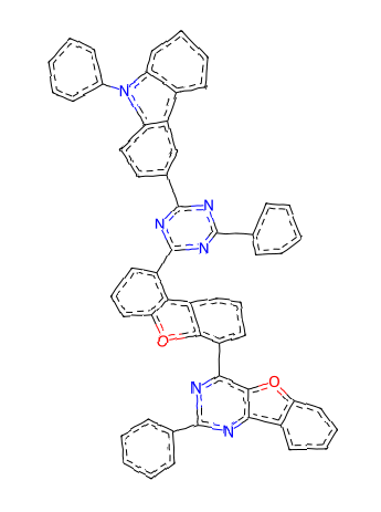 c1ccc(-c2nc(-c3ccc4c(c3)c3ccccc3n4-c3ccccc3)nc(-c3cccc4oc5c(-c6nc(-c7ccccc7)nc7c6oc6ccccc67)cccc5c34)n2)cc1